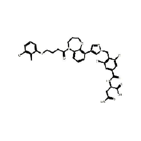 Cc1c(Cl)cccc1OCCCC(=O)N1CCCOc2c(-c3cnn(Cc4c(Cl)cc(C(=O)NC(CC(=O)O)C(=O)O)cc4Cl)c3)cccc21